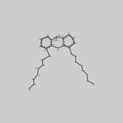 CCCCCCCCc1cccc(O)c1Sc1c(O)cccc1CCCCCCCC